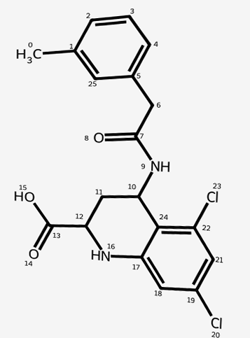 Cc1cccc(CC(=O)NC2CC(C(=O)O)Nc3cc(Cl)cc(Cl)c32)c1